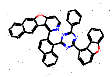 c1ccc(-c2nc(-c3c(-c4nccc5oc6cc7ccccc7cc6c45)ccc4ccccc34)nc(-c3cccc4oc5ccccc5c34)n2)cc1